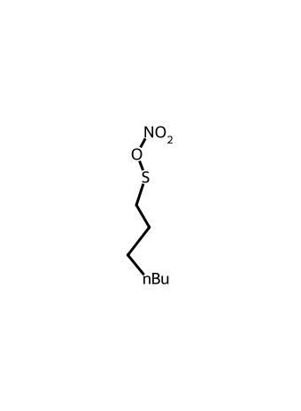 CCCCCCCSO[N+](=O)[O-]